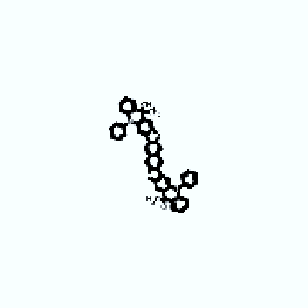 CC1(C)c2ccccc2N(c2ccccc2)c2cc3c(cc21)sc1cc2cc4c(cc2cc13)sc1cc2c(cc14)N(c1ccccc1)c1ccccc1C2(C)C